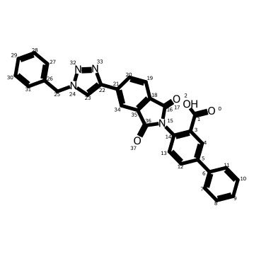 O=C(O)c1cc(-c2ccccc2)ccc1N1C(=O)c2ccc(-c3cn(Cc4ccccc4)nn3)cc2C1=O